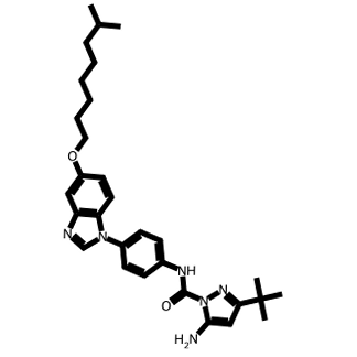 CC(C)CCCCCCOc1ccc2c(c1)ncn2-c1ccc(NC(=O)n2nc(C(C)(C)C)cc2N)cc1